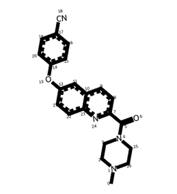 CN1CCN(C(=O)c2ccc3cc(Oc4ccc(C#N)cc4)ccc3n2)CC1